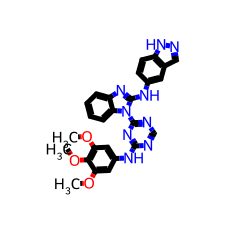 COc1cc(Nc2ncnc(-n3c(Nc4ccc5[nH]ncc5c4)nc4ccccc43)n2)cc(OC)c1OC